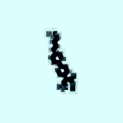 C=CC(C(=O)O)[C@H]1CC[C@H]([C@H]2CC[C@H](CCCCC)CC2)CC1